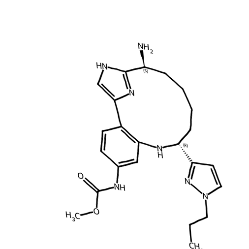 CCCn1ccc([C@H]2CCCC[C@H](N)c3nc(c[nH]3)-c3ccc(NC(=O)OC)cc3N2)n1